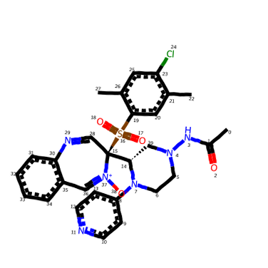 CC(=O)NN1CCN(c2ccncc2)[C@H]([C@@]2(S(=O)(=O)c3cc(C)c(Cl)cc3C)C=Nc3ccccc3C=[N+]2[O-])C1